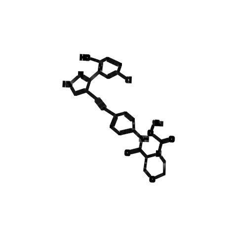 CC(C)(C)OC(=O)N1CCOCC1C(=O)Nc1ccc(C#Cc2c[nH]nc2-c2cc(Cl)ccc2O)cc1